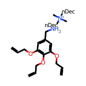 C=CCOc1cc(CN)cc(OCC=C)c1OCC=C.CCCCCCCCCC[N+](C)(C)CCCCCCCCCC